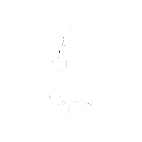 COC(=O)c1ccnc2ccc(NC(=O)[C@H]3CC[C@H](CNC(=O)OC(C)(C)C)CC3)cc12